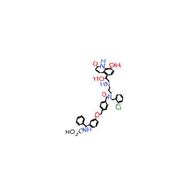 O=C(O)NC(c1ccccc1)c1cccc(OCc2ccc(C(=O)N(CCCNC[C@@H](O)c3ccc(O)c4[nH]c(=O)ccc34)Cc3ccccc3Cl)cc2)c1